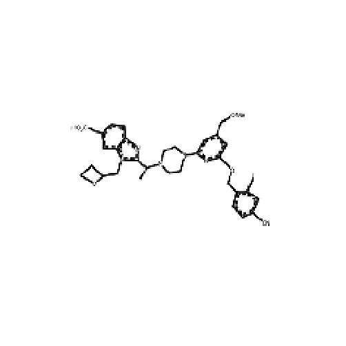 COCc1cc(OCc2ccc(C#N)cc2F)nc(N2CCN([C@@H](C)c3nc4ccc(C(=O)O)cc4n3CC3CCO3)CC2)c1